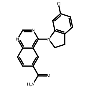 NC(=O)c1ccc2ncnc(N3CCc4ccc(Cl)cc43)c2c1